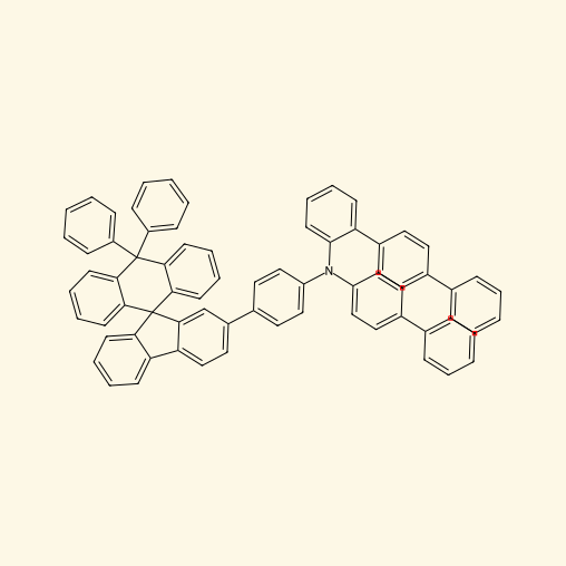 c1ccc(-c2ccc(-c3ccccc3N(c3ccc(-c4ccccc4)cc3)c3ccc(-c4ccc5c(c4)C4(c6ccccc6-5)c5ccccc5C(c5ccccc5)(c5ccccc5)c5ccccc54)cc3)cc2)cc1